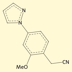 COc1cc(-n2cccn2)ccc1CC#N